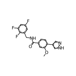 COc1cc(C(=O)NCc2cc(F)cc(F)c2F)ccc1-c1cn[nH]c1